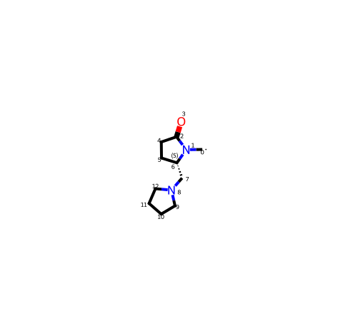 [CH2]N1C(=O)CC[C@H]1CN1CCCC1